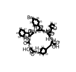 O=C1C[C@@H](O)C(=O)Nc2ccc(cc2)C[C@H](C(=O)O)NC(=O)[C@@H](Cc2ccco2)NC(=O)[C@H](Cc2ccc(Br)cc2)NC(=O)[C@@H](Cc2ccccc2)N1